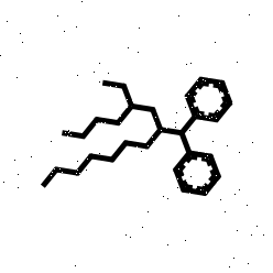 CCCCCCCC(CC(CC)CCCC)[C](c1ccccc1)c1ccccc1